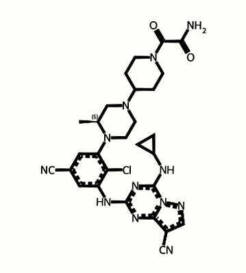 C[C@H]1CN(C2CCN(C(=O)C(N)=O)CC2)CCN1c1cc(C#N)cc(Nc2nc(NC3CC3)n3ncc(C#N)c3n2)c1Cl